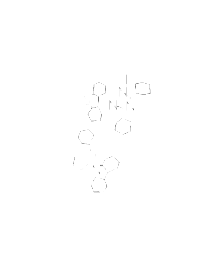 C1=CC2c3ccc(-c4ccc5c(c4)sc4cccc(C6N=C(c7ccccc7)N=C(c7ccccc7)N6)c45)cc3SC2C(n2c3ccccc3c3ccccc32)=C1